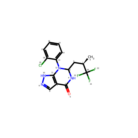 C[C@H](CC1NC(=O)c2cn[nH]c2N1c1ccccc1Cl)C(F)(F)F